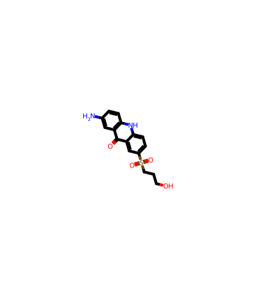 Nc1ccc2[nH]c3ccc(S(=O)(=O)CCCO)cc3c(=O)c2c1